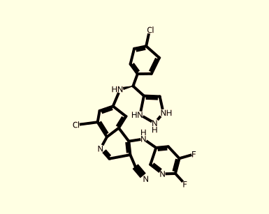 N#Cc1cnc2c(Cl)cc(N[C@H](C3=CNNN3)c3ccc(Cl)cc3)cc2c1Nc1cnc(F)c(F)c1